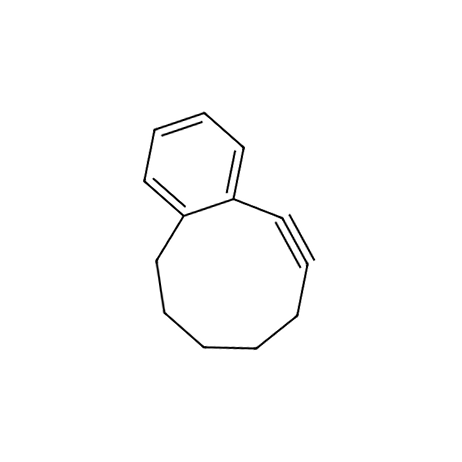 C1#Cc2ccccc2CCCCC1